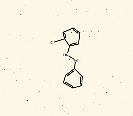 Clc1ccccc1NNc1ccccc1